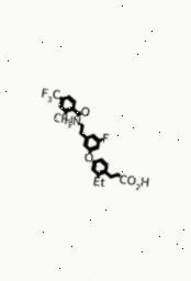 CCc1cc(Oc2cc(F)cc(CCNC(=O)c3ccc(C(F)(F)F)cc3C(F)(F)F)c2)ccc1CCC(=O)O